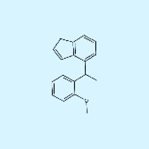 COc1ccccc1C(C)c1cccc2c1C=CC2